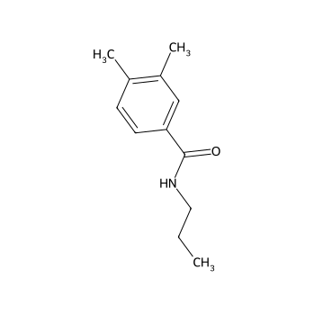 CCCNC(=O)c1ccc(C)c(C)c1